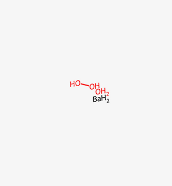 O.OO.[BaH2]